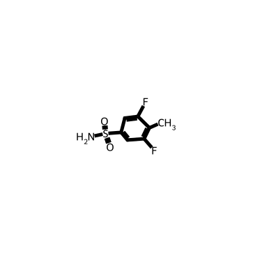 Cc1c(F)cc(S(N)(=O)=O)cc1F